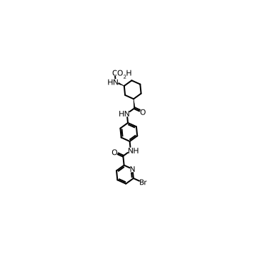 O=C(O)N[C@H]1CCC[C@@H](C(=O)Nc2ccc(NC(=O)c3cccc(Br)n3)cc2)C1